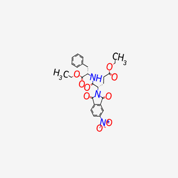 CCOC(=O)CC[C@@H](C(=O)N[C@@H](Cc1ccccc1)C(=O)OCC)N1C(=O)c2ccc([N+](=O)[O-])cc2C1=O